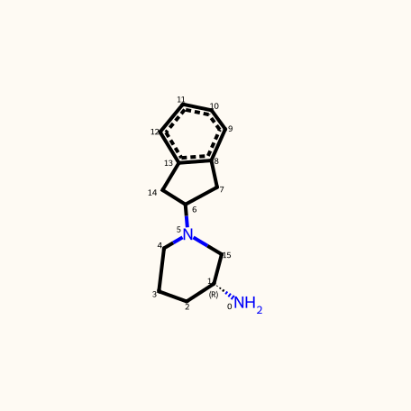 N[C@@H]1CCCN(C2Cc3ccccc3C2)C1